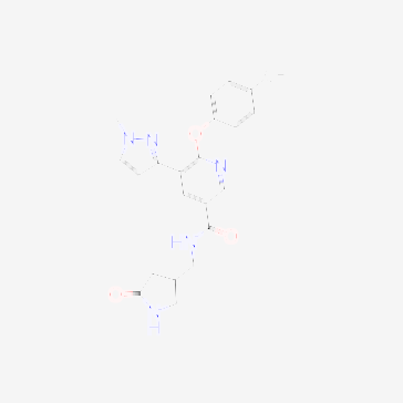 Cn1ccc(-c2cc(C(=O)NCC3CNC(=O)C3)cnc2Oc2ccc(C(F)(F)F)cc2)n1